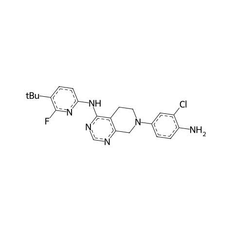 CC(C)(C)c1ccc(Nc2ncnc3c2CCN(c2ccc(N)c(Cl)c2)C3)nc1F